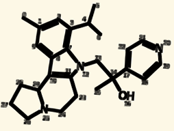 Cc1cc(C(C)C)c2c(c1)c1c(n2CC(C)(O)c2ccncc2)CCN2CCCC12